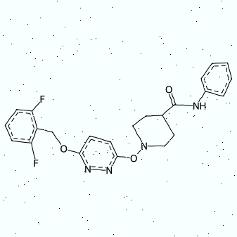 O=C(Nc1ccccc1)C1CCN(Oc2ccc(OCc3c(F)cccc3F)nn2)CC1